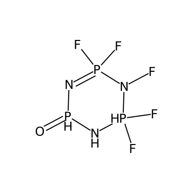 O=[PH]1N=P(F)(F)N(F)[PH](F)(F)N1